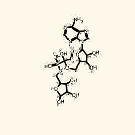 Nc1ncnc2c1ncn2C1OC(COC(O)(P=O)P(=O)(O)OCC2OC(O)C(O)C2O)C(O)C1O